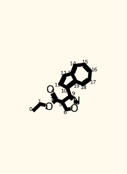 CCOC(=O)C1CON=C1c1ccc2cccccc1-2